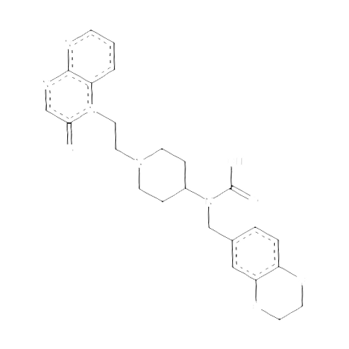 O=C(O)N(Cc1ccc2c(c1)OCCO2)C1CCN(CCn2c(=O)cnc3ncccc32)CC1